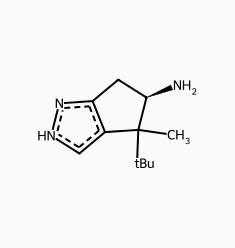 CC(C)(C)C1(C)c2c[nH]nc2C[C@H]1N